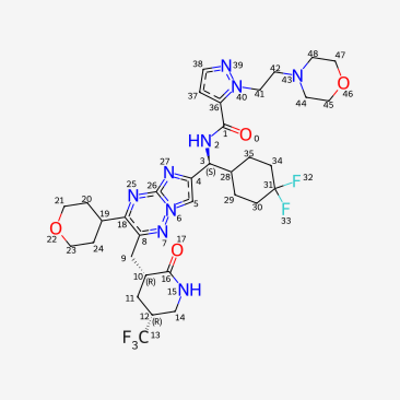 O=C(N[C@H](c1cn2nc(C[C@H]3C[C@@H](C(F)(F)F)CNC3=O)c(C3CCOCC3)nc2n1)C1CCC(F)(F)CC1)c1ccnn1CCN1CCOCC1